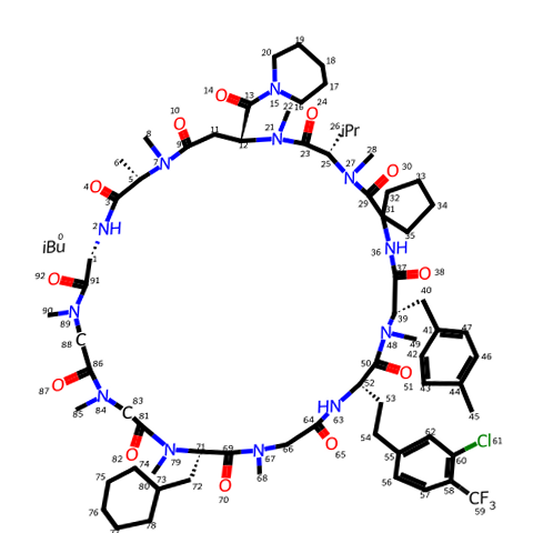 CC[C@H](C)[C@@H]1NC(=O)[C@H](C)N(C)C(=O)C[C@@H](C(=O)N2CCCCC2)N(C)C(=O)[C@H](C(C)C)N(C)C(=O)C2(CCCC2)NC(=O)[C@H](Cc2ccc(C)cc2)N(C)C(=O)[C@H](CCc2ccc(C(F)(F)F)c(Cl)c2)NC(=O)CN(C)C(=O)[C@H](CC2CCCCC2)N(C)C(=O)CN(C)C(=O)CN(C)C1=O